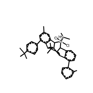 CC1=Cc2c(-c3ccc(C(C)(C)C)cc3)cc(C)cc2[CH]1[Zr]([Cl])([Cl])([CH]1C(C(C)C)=Cc2c(-c3ccccc3C)cccc21)[SiH](C)C